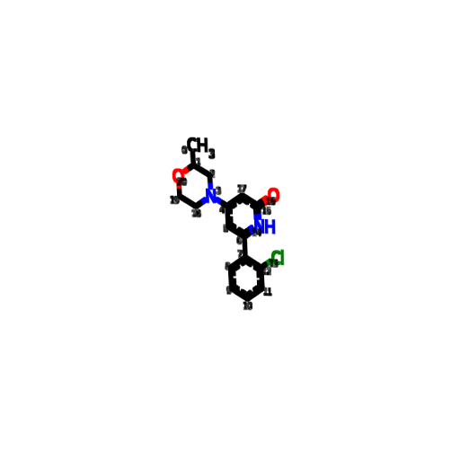 CC1CN(c2cc(-c3ccccc3Cl)[nH]c(=O)c2)CCO1